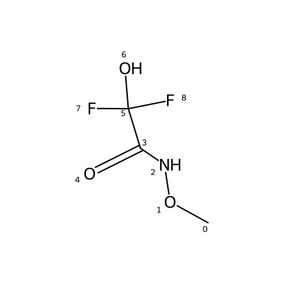 CONC(=O)C(O)(F)F